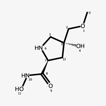 COC[C@]1(O)CN[C@H](C(=O)NO)C1